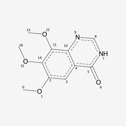 COc1cc2c(=O)[nH]cnc2c(OC)c1OC